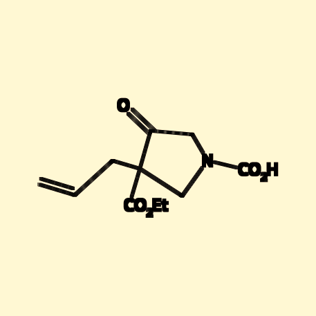 C=CCC1(C(=O)OCC)CN(C(=O)O)CC1=O